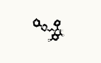 O=C1NC(c2ccccc2)N(CCN2CCN(c3ccccc3)CC2)c2cc(Cl)ccc21